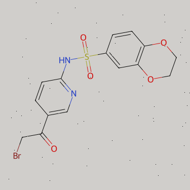 O=C(CBr)c1ccc(NS(=O)(=O)c2ccc3c(c2)OCCO3)nc1